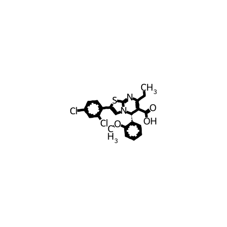 CCC1=C(C(=O)O)[C@H](c2ccccc2OC)N2C=C(c3ccc(Cl)cc3Cl)SC2=N1